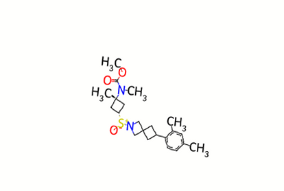 COC(=O)N(C)[C@]1(C)C[C@H]([S+]([O-])N2CC3(CC(c4ccc(C)cc4C)C3)C2)C1